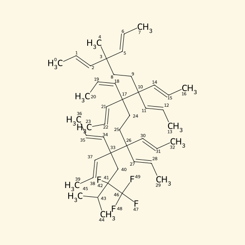 CC=CC(C)(C=CC)CCC(C=CC)(C=CC)C(C=CC)(C=CC)CCC(C=CC)(C=CC)C(C=CC)(C=CC)CC(F)(C(C)C)C(F)(F)F